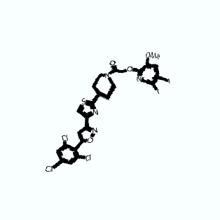 COc1cc(I)c(I)nc1OCC(=O)N1CCC(c2nc(C3=NOC(c4c(Cl)cc(Cl)cc4Cl)C3)cs2)CC1